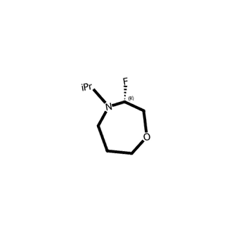 CC(C)N1CCCOC[C@H]1F